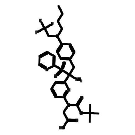 CCCCN(CC(F)(F)F)c1ccc(CC(N)(c2cccc(N(CC(=O)O)C(=O)OC(C)(C)C)n2)S(=O)(=O)c2ccccn2)cc1